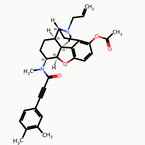 C=CCN1CC[C@@]23c4c5ccc(OC(C)=O)c4C[C@@H]1[C@@H]2CC[C@H](N(C)C(=O)C#Cc1ccc(C)c(C)c1)[C@@H]3O5